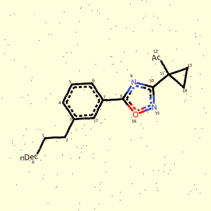 CCCCCCCCCCCCc1cccc(-c2nc(C3(C(C)=O)CC3)no2)c1